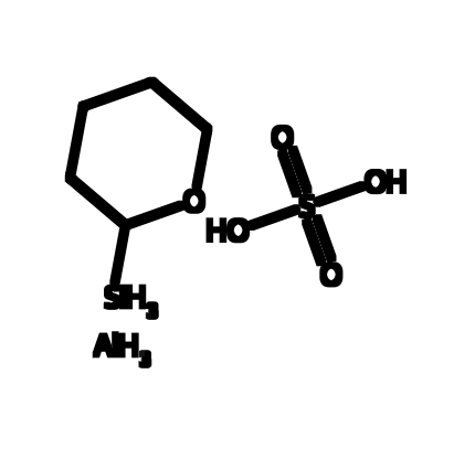 O=S(=O)(O)O.[AlH3].[SiH3]C1CCCCO1